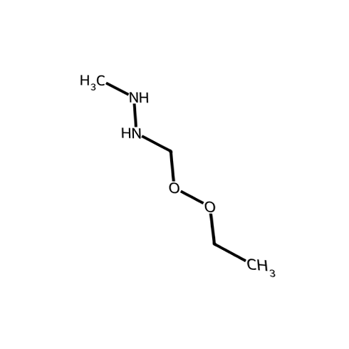 CCOOCNNC